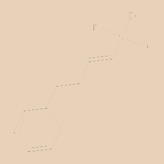 CC[Si](C=CCCc1ccccc1)(CC)CC